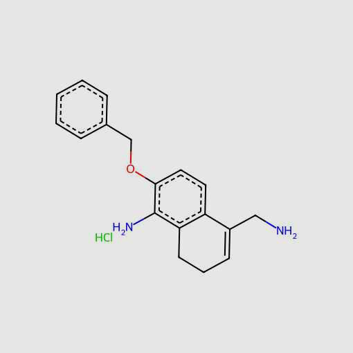 Cl.NCC1=CCCc2c1ccc(OCc1ccccc1)c2N